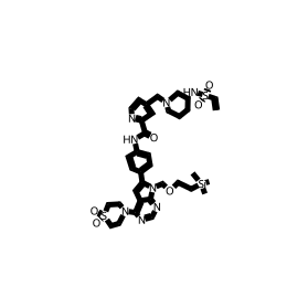 C=CS(=O)(=O)N[C@@H]1CCCN(Cc2ccnc(C(=O)Nc3ccc(-c4cc5c(N6CCS(=O)(=O)CC6)ncnc5n4COCC[Si](C)(C)C)cc3)c2)C1